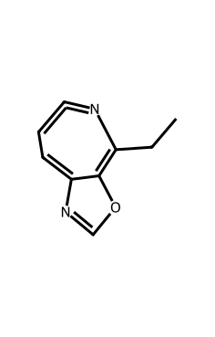 CCC1=c2ocnc2=CC=C=N1